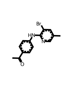 CC(=O)c1ccc(Nc2ncc(C)cc2Br)cc1